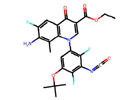 CCOC(=O)c1cn(-c2cc(OC(C)(C)C)c(F)c(N=C=O)c2F)c2c(C)c(N)c(F)cc2c1=O